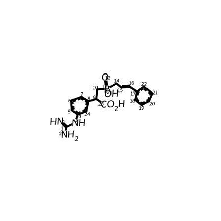 N=C(N)Nc1cccc(C(CP(=O)(O)C/C=C/c2ccccc2)C(=O)O)c1